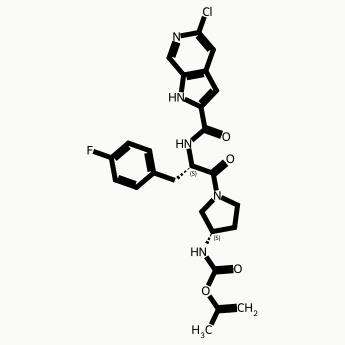 C=C(C)OC(=O)N[C@H]1CCN(C(=O)[C@H](Cc2ccc(F)cc2)NC(=O)c2cc3cc(Cl)ncc3[nH]2)C1